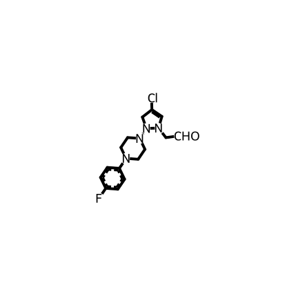 O=CCN1C=C(Cl)CN1N1CCN(c2ccc(F)cc2)CC1